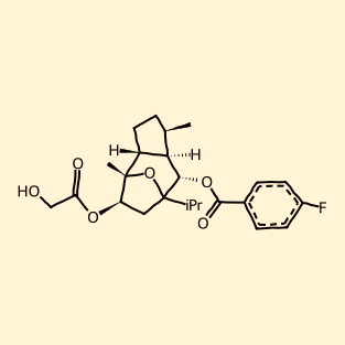 CC(C)C12C[C@@H](OC(=O)CO)[C@@](C)(O1)[C@@H]1CC[C@@H](C)[C@H]1[C@@H]2OC(=O)c1ccc(F)cc1